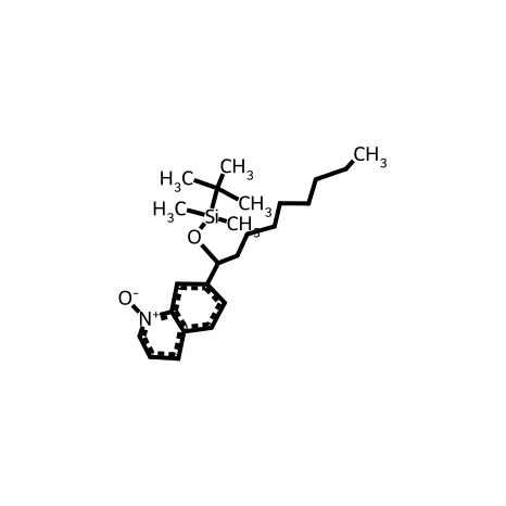 CCCCCCCCC(O[Si](C)(C)C(C)(C)C)c1ccc2ccc[n+]([O-])c2c1